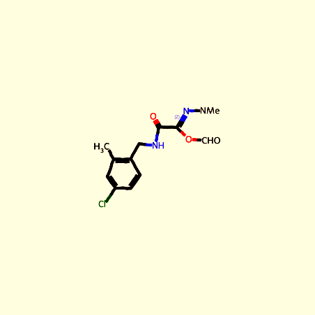 CN/N=C(\OC=O)C(=O)NCc1ccc(Cl)cc1C